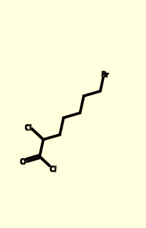 O=C(Cl)C(Cl)CCCCCBr